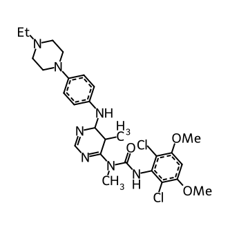 CCN1CCN(c2ccc(NC3N=CN=C(N(C)C(=O)Nc4c(Cl)c(OC)cc(OC)c4Cl)C3C)cc2)CC1